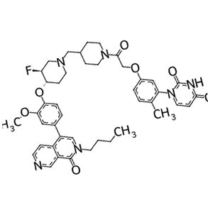 CCCCn1cc(-c2ccc(O[C@H]3CCN(CC4CCN(C(=O)COc5ccc(C)c(-n6ccc(=O)[nH]c6=O)c5)CC4)C[C@@H]3F)c(OC)c2)c2ccncc2c1=O